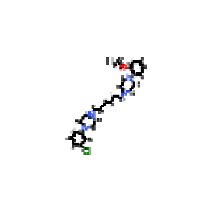 COc1ccccc1N1CCN(CCCCCCN2CCN(c3cccc(Cl)c3)CC2)CC1